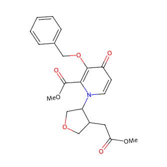 COC(=O)CC1COCC1n1ccc(=O)c(OCc2ccccc2)c1C(=O)OC